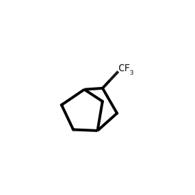 FC(F)(F)C1CC2CCC1C2